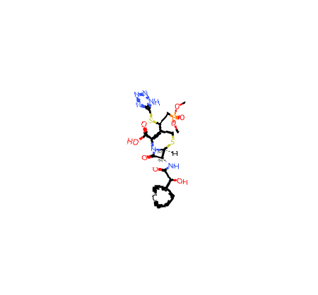 COP(=O)(CC(Sc1nnn[nH]1)C1=C(C(=O)O)N2C(=O)[C@@H](NC(=O)C(O)c3ccccc3)[C@@H]2SC1)OC